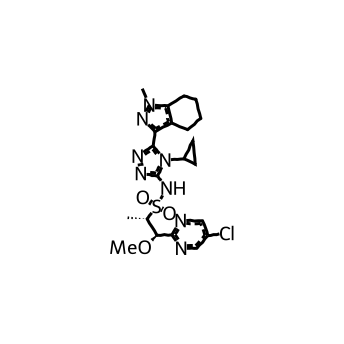 CO[C@H](c1ncc(Cl)cn1)[C@H](C)S(=O)(=O)Nc1nnc(-c2nn(C)c3c2CCCC3)n1C1CC1